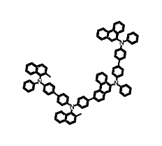 Cc1ccc2ccccc2c1N(c1ccccc1)c1ccc(-c2ccc(N(c3ccc(-c4ccc5cc(N(c6ccccc6)c6ccc(-c7ccc(N(c8ccccc8)c8cc9ccccc9c9ccccc89)cc7)cc6)c6ccccc6c5c4)cc3)c3c(C)ccc4ccccc34)cc2)cc1